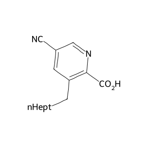 CCCCCCCCc1cc(C#N)cnc1C(=O)O